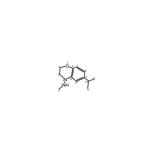 CNN1CCOc2ccc(C(C)C)cc21